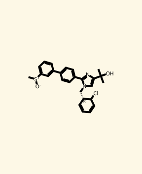 C[S+]([O-])c1cccc(-c2ccc(-c3nc(C(C)(C)O)cn3C[C@H]3C=CC=CC3Cl)cc2)c1